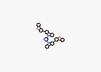 c1ccc2c(c1)oc1ccc(-c3ccc4c5ccccc5n(-c5cncc(-n6c7ccccc7c7ccc(-c8ccc9oc%10ccccc%10c9c8)cc76)c5)c4c3)cc12